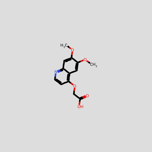 COc1cc2nccc(OCC(=O)O)c2cc1OC